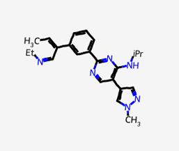 C/C=C(\C=N/CC)c1cccc(-c2ncc(-c3cnn(C)c3)c(NC(C)C)n2)c1